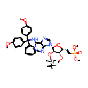 COc1ccc(C(Nc2ncnc3c2ncn3[C@@H]2O[C@H](/C=C/P(=O)(OC)OC)[C@@H](OC)[C@H]2O[Si](C)(C)C(C)(C)C)(c2ccccc2)c2ccc(OC)cc2)cc1